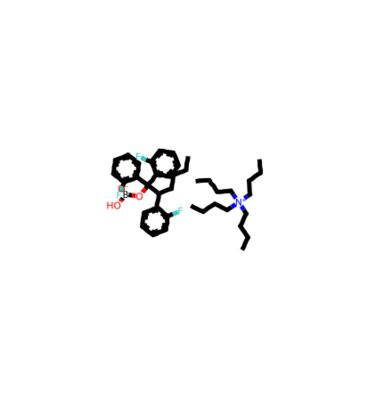 CCCCC(c1ccccc1F)C(OB([O-])O)(c1ccccc1F)c1ccccc1F.CCCC[N+](CCCC)(CCCC)CCCC